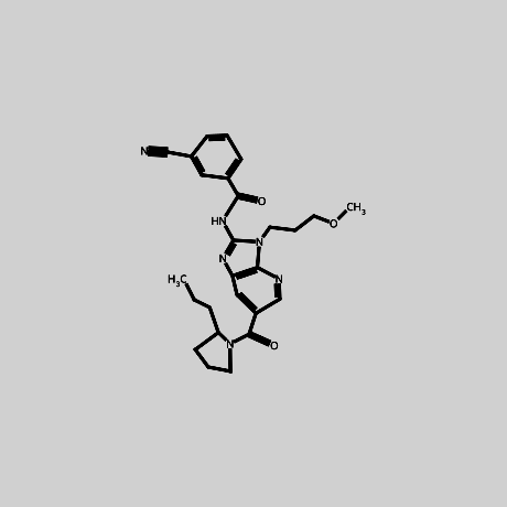 CCCC1CCCN1C(=O)c1cnc2c(c1)nc(NC(=O)c1cccc(C#N)c1)n2CCCOC